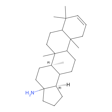 CC1(C)C=CCC2(C)C1CCC1(C)C2CCC2[C@H]3CCCC3(N)CC[C@]21C